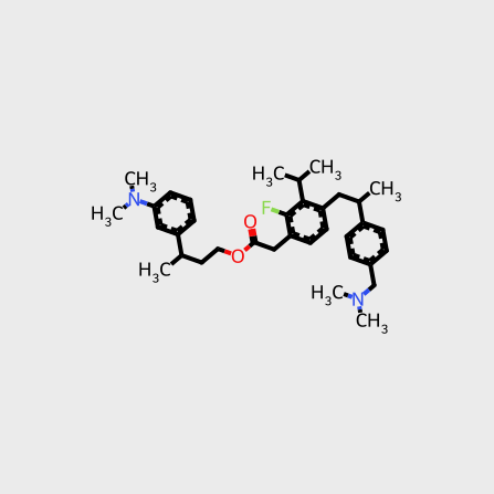 CC(C)c1c(CC(C)c2ccc(CN(C)C)cc2)ccc(CC(=O)OCCC(C)c2cccc(N(C)C)c2)c1F